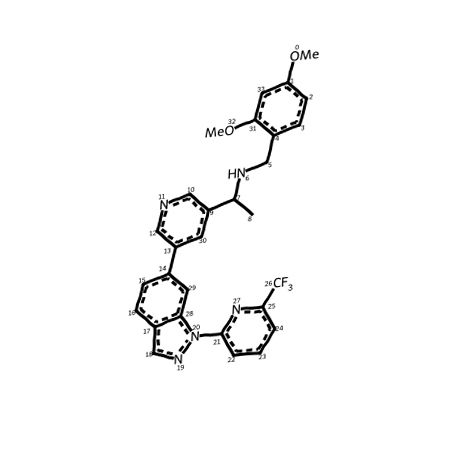 COc1ccc(CNC(C)c2cncc(-c3ccc4cnn(-c5cccc(C(F)(F)F)n5)c4c3)c2)c(OC)c1